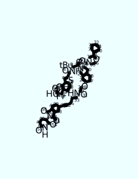 CC(C)(C)[C@H](NC(=O)c1cc2cc(C(F)(F)P(=O)(O)O)ccc2s1)C(=O)N1Cc2cc(OCC(=O)NCCCC#Cc3ccc4c(c3)C(=O)N(C3CCC(=O)NC3=O)C4=O)ccc2C[C@H]1C(=O)N1CCOC(c2ccccc2)C1